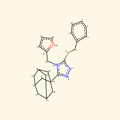 c1ccc(CSc2nnc(C34CC5CC(CC(C5)C3)C4)n2Cc2ccco2)cc1